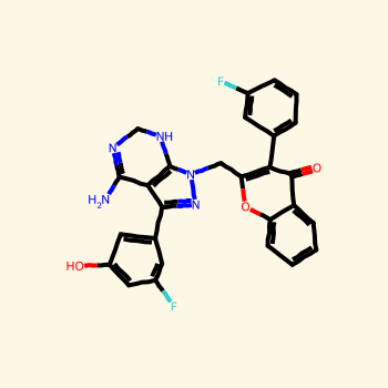 NC1=NCNc2c1c(-c1cc(O)cc(F)c1)nn2Cc1oc2ccccc2c(=O)c1-c1cccc(F)c1